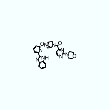 O=C(c1ccnc(N2CCOCC2)n1)N1CC2CC1CN2Oc1cccc(-c2nc3ccccc3[nH]2)n1